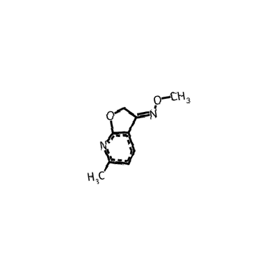 CON=C1COc2nc(C)ccc21